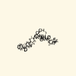 CCO[C@@H]1CN(C2CCC(c3ccc(C(=O)N4CCOCC4)cn3)CC2)C[C@@H]1NC(=O)CNC(=O)c1cccc(C(F)(F)F)c1